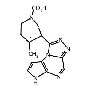 CC1CCN(C(=O)O)CC1c1nnc2cnc3[nH]ccc3n12